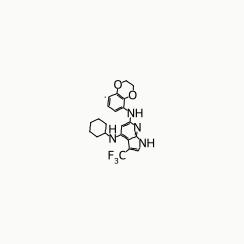 FC(F)(F)c1c[nH]c2nc(Nc3cc[c]c4c3OCCO4)cc(NC3CCCCC3)c12